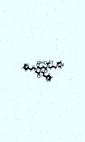 CCC(C=O)N(CCCn1ccnc1)C(=O)CC1C(=O)N(CCc2cccs2)CC(=O)N1CCc1cccs1